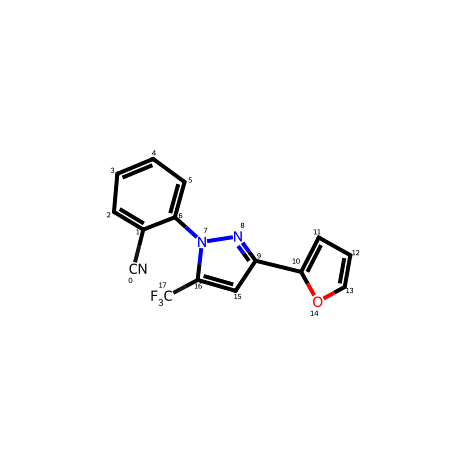 N#Cc1ccccc1-n1nc(-c2ccco2)cc1C(F)(F)F